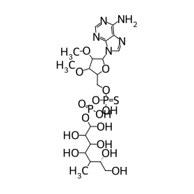 COC1C(COP(O)(=S)OP(=O)(O)OC(O)C(O)C(O)C(O)C(C)[C@H](O)CO)OC(n2cnc3c(N)ncnc32)C1OC